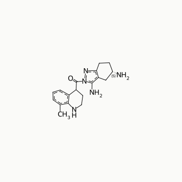 Cc1cccc2c1NCCC2C(=O)n1nc2c(c1N)C[C@@H](N)CC2